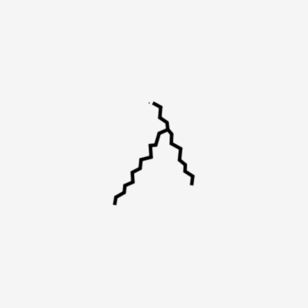 [CH2]CCCC(CCCCCCCC)CCCCCCCCCCCC